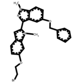 Cn1nc(-c2cc3ccc(OCCBr)cc3n2C)c2cc(OCc3ccccc3)ccc21